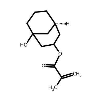 C=C(C)C(=O)OC1C[C@@H]2CCCC(O)(C1)C2